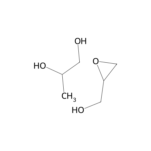 CC(O)CO.OCC1CO1